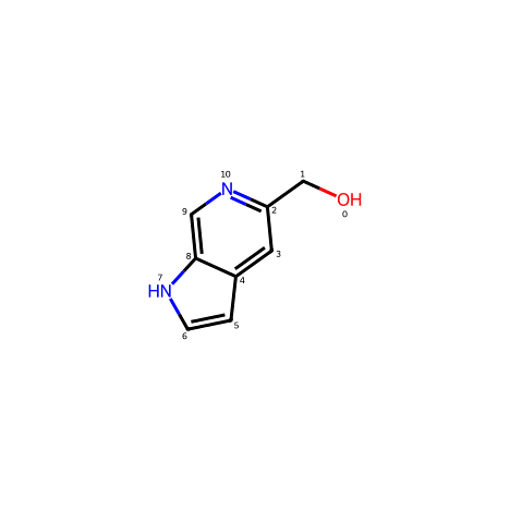 OCc1cc2cc[nH]c2cn1